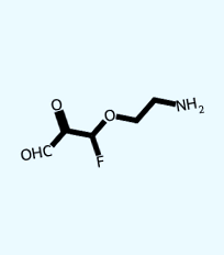 NCCOC(F)C(=O)C=O